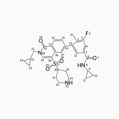 Cc1c(F)cc(C(=O)NC2CC2)cc1-c1ccc2c(=O)n(CC3CC3)cc(S(=O)(=O)C3CCNCC3)c2c1